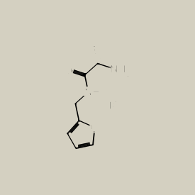 C[C@H](N)C(=O)NCc1ccco1.Cl